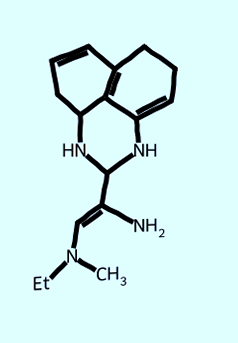 CCN(C)/C=C(\N)C1NC2=CCCC3=C2C(CC=C3)N1